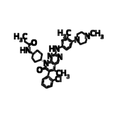 CCC(=O)N[C@H]1CC[C@H](n2c(=O)c(-c3ccccc3Cl)c(C)c3cnc(Nc4ccc(N5CCN(C)CC5)c(C)c4)nc32)CC1